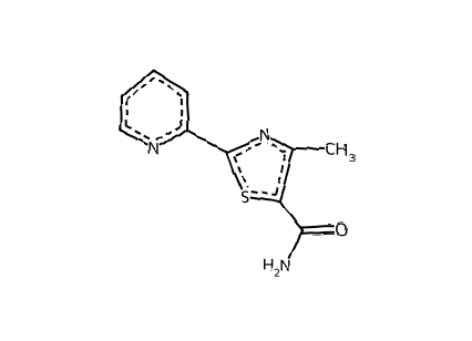 Cc1nc(-c2ccccn2)sc1C(N)=O